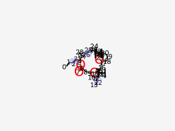 C=C/C=C/C1OC(=O)CC2C/C(=C\C)C[C@H](CC3CCC[C@H](C[C@@H](C)/C=C/[C@@H]1C)O3)O2